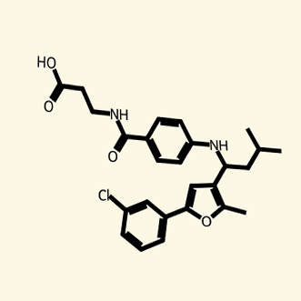 Cc1oc(-c2cccc(Cl)c2)cc1C(CC(C)C)Nc1ccc(C(=O)NCCC(=O)O)cc1